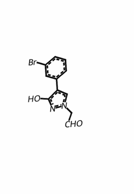 O=CCn1cc(-c2cccc(Br)c2)c(O)n1